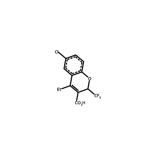 CCC1=C(C(=O)O)C(C(F)(F)F)Oc2ccc(Cl)cc21